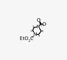 CCOC(=O)N1CCN(C([O])=O)CC1